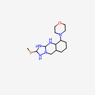 CSC1NC2NC3C(CCCC3N3CCOCC3)CN2N1